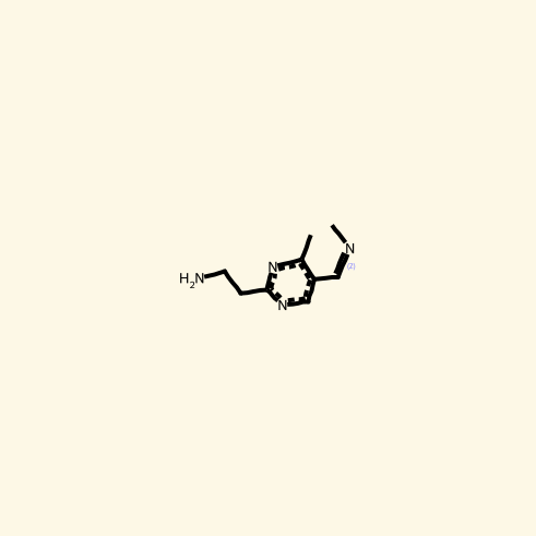 C/N=C\c1cnc(CCN)nc1C